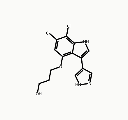 OCCCOc1cc(Cl)c(Cl)c2[nH]cc(-c3cn[nH]c3)c12